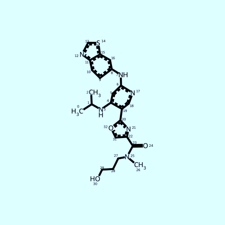 CC(C)Nc1cc(Nc2ccc3ncsc3c2)ncc1-c1nc(C(=O)N(C)CCCO)co1